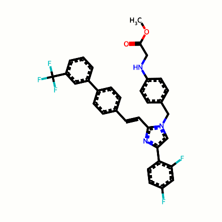 COC(=O)CNc1ccc(Cn2cc(-c3ccc(F)cc3F)nc2/C=C/c2ccc(-c3cccc(C(F)(F)F)c3)cc2)cc1